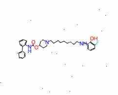 O=C(Nc1ccccc1-c1ccccc1)OC1CCN(CCCCCCCCCNCc2cccc(F)c2O)CC1